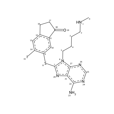 CNCCCCn1c(Sc2cc3c(cc2I)CCC3=O)nc2c(N)ncnc21